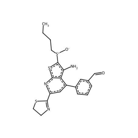 CCCC[S+]([O-])c1sc2nc(C3=NCCS3)cc(-c3cccc(C=O)c3)c2c1N